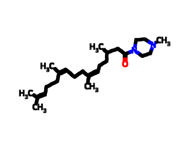 CC(C)=CCCC(C)=CCCC(C)=CCCC(C)CC(=O)N1CCN(C)CC1